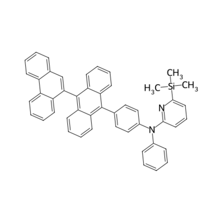 C[Si](C)(C)c1cccc(N(c2ccccc2)c2ccc(-c3c4ccccc4c(-c4cc5ccccc5c5ccccc45)c4ccccc34)cc2)n1